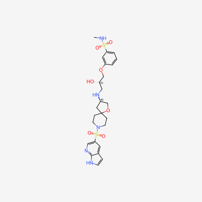 CNS(=O)(=O)c1cccc(OC[C@@H](O)CN[C@H]2COC3(CCN(S(=O)(=O)c4cnc5[nH]ccc5c4)CC3)C2)c1